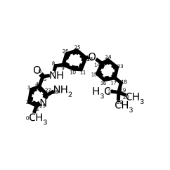 Cc1ccc(C(=O)NCc2ccc(Oc3ccc(CC(C)(C)C)cc3)cc2)c(N)n1